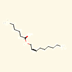 CCCCCC/C=C\COC(=O)CCCCC